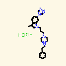 Cc1cn(CCCN2CCN(CCc3ccccc3)CC2)c2cc(-n3cnnc3)ccc12.Cl.Cl